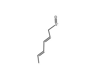 CC=CC=CC[S+]=O